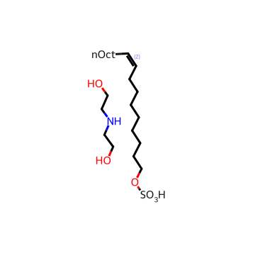 CCCCCCCC/C=C\CCCCCCCCOS(=O)(=O)O.OCCNCCO